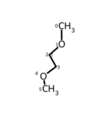 CO[C]COC